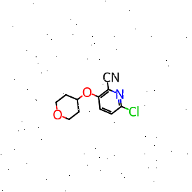 N#Cc1nc(Cl)ccc1OC1CCOCC1